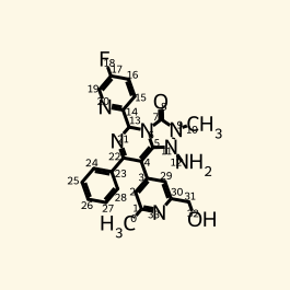 Cc1cc(C2=C3N(C(=O)N(C)N3N)C(c3ccc(F)cn3)N=C2c2ccccc2)cc(CO)n1